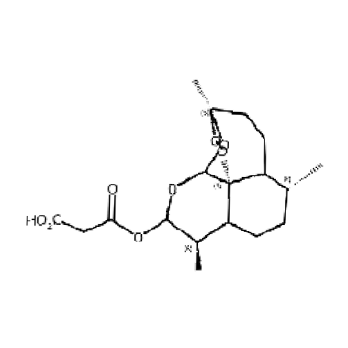 C[C@H]1C(OC(=O)CC(=O)O)OC2O[C@]3(C)CCC4[C@H](C)CCC1[C@@]24OO3